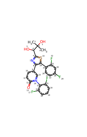 CC(C)(O)C(O)c1nc(-c2ccc(=O)n(-c3c(F)cccc3F)c2)c(-c2ccc(F)cc2F)s1